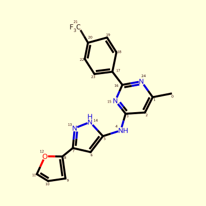 Cc1cc(Nc2cc(-c3ccco3)n[nH]2)nc(-c2ccc(C(F)(F)F)cc2)n1